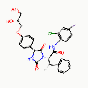 C[C@@H](c1ccccc1)[C@@H](C(=O)Nc1ccc(I)cc1Cl)N1C(=O)N[C@@H](c2ccc(OC[C@H](O)CO)cc2)C1=O